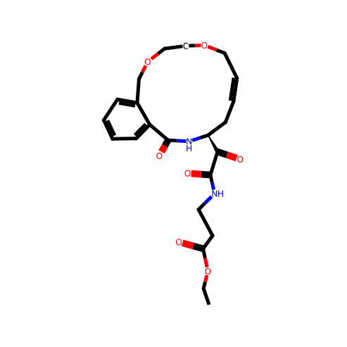 CCOC(=O)CCNC(=O)C(=O)[C@@H]1C/C=C\COCCOCc2ccccc2C(=O)N1